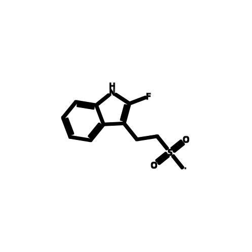 [CH2]S(=O)(=O)CCc1c(F)[nH]c2ccccc12